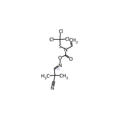 C=CN(SC(Cl)(Cl)Cl)C(=O)O/N=C/C(C)(C)C#N